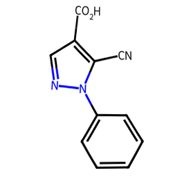 N#Cc1c(C(=O)O)cnn1-c1ccccc1